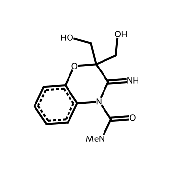 CNC(=O)N1C(=N)C(CO)(CO)Oc2ccccc21